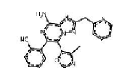 Cc1ncoc1-c1c(-c2ccccc2C#N)nc(N)c2nc(Cc3ccccn3)nn12